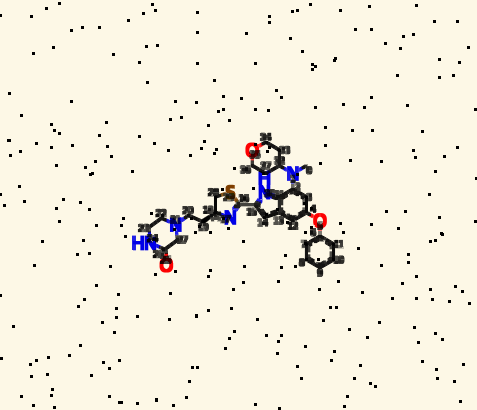 CN(c1cc(Oc2ccccc2)cc2cc(C3=N[C@@H](CCN4CCNC(=O)C4)CS3)[nH]c12)C1CCOCC1